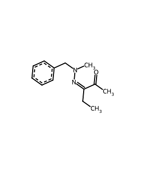 CCC(=NN(C)Cc1ccccc1)C(C)=O